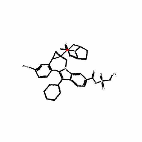 COc1ccc2c(c1)C1CC1(C(=O)N1C3CCC1CN(C)C3)Cn1c-2c(C2CCCCC2)c2ccc(C(=O)NS(=O)(=O)CC(C)C)cc21